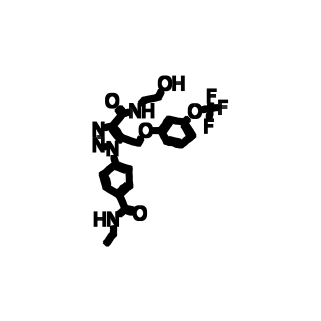 CCNC(=O)c1ccc(-n2nnc(C(=O)NCCO)c2COc2cccc(OC(F)(F)F)c2)cc1